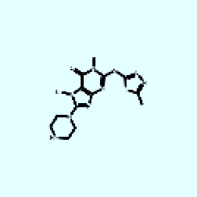 CCn1c(N2CCNCC2)nc2nc(Sc3nnc(C)s3)n(C)c(=O)c21